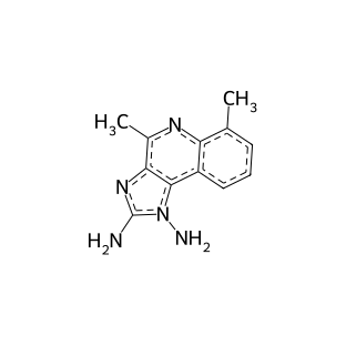 Cc1cccc2c1nc(C)c1nc(N)n(N)c12